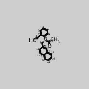 C#Cc1ccccc1N(Cc1ccc2ccccc2c1)C(C)=O